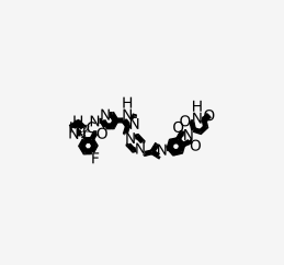 C[C@@H](Oc1cc(-c2[nH]cnc2CN2CCN(CC3CN(c4ccc5c(c4)C(=O)N(C4CCC(=O)NC4=O)C5=O)C3)CC2)cnc1N)c1cc(F)ccc1-n1cccn1